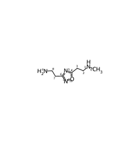 CNCCc1nc(CCN)no1